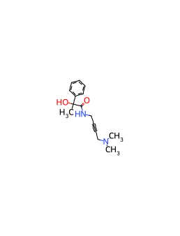 CN(C)CC#CCNC(=O)C(C)(O)c1ccccc1